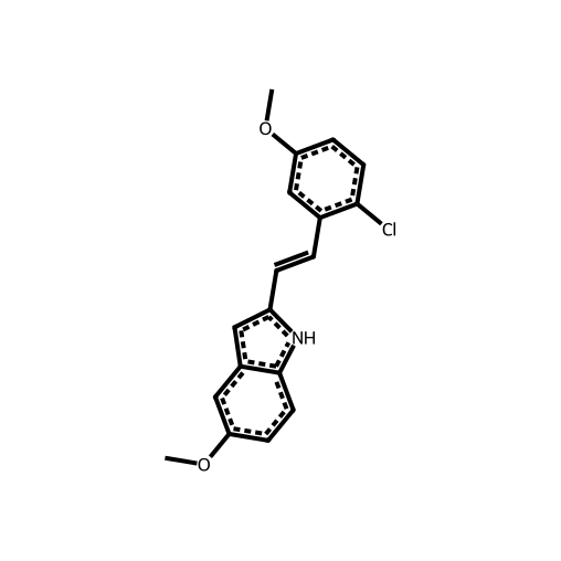 COc1ccc(Cl)c(/C=C/c2cc3cc(OC)ccc3[nH]2)c1